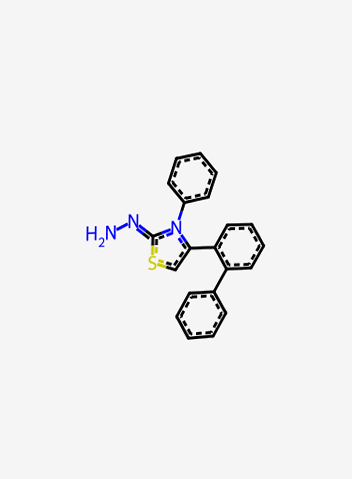 NN=c1scc(-c2ccccc2-c2ccccc2)n1-c1ccccc1